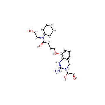 COC(C=O)N1Cc2cccc(OCCCC(=O)N(CCO)C3CCCCC3)c2N=C1N